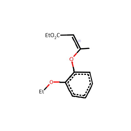 CCOC(=O)/C=C(/C)Oc1ccccc1OCC